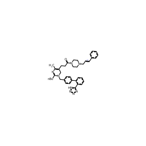 CCCCC1=NC(C)=C(CCC(=O)N2CCN(C/C=C/c3ccccc3)CC2)CN1Cc1ccc(-c2ccccc2-c2nnn[nH]2)cc1